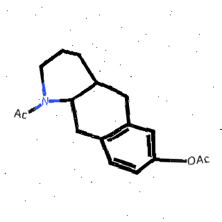 CC(=O)Oc1ccc2c(c1)CC1CCCN(C(C)=O)C1C2